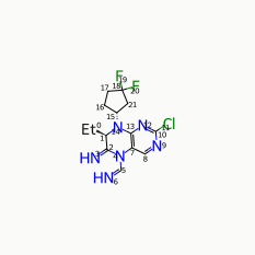 CC[C@@H]1C(=N)N(C=N)c2cnc(Cl)nc2N1[C@@H]1CCC(F)(F)C1